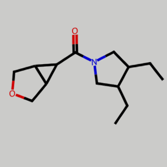 CCC1CN(C(=O)C2C3COCC32)CC1CC